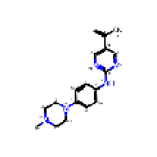 C=C(C#N)c1cnc(Nc2ccc(N3CCN(C)CC3)cc2)nc1